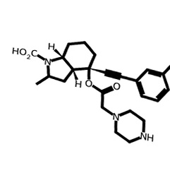 Cc1cccc(C#C[C@]2(OC(=O)CN3CCNCC3)CCC[C@@H]3[C@H]2CC(C)N3C(=O)O)c1